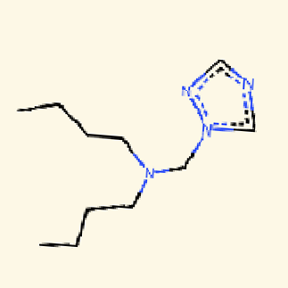 CCCCN(CCCC)Cn1cncn1